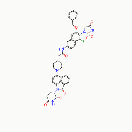 O=C1CCC(N2C(=O)c3cccc4c(N5CCC(CC(=O)Nc6ccc7c(F)c(N8CC(=O)NS8(=O)=O)c(OCc8ccccc8)cc7c6)CC5)ccc2c34)C(=O)N1